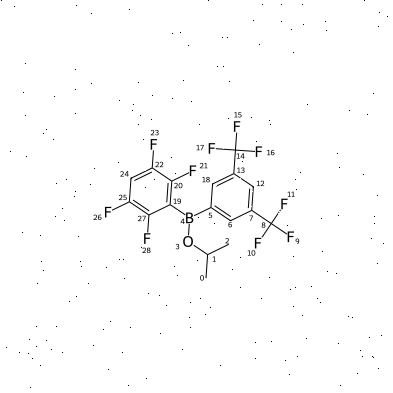 CC(C)OB(c1cc(C(F)(F)F)cc(C(F)(F)F)c1)c1c(F)c(F)cc(F)c1F